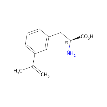 C=C(C)c1cccc(C[C@H](N)C(=O)O)c1